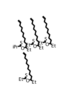 C=CCCCCCCCCC(CC)OC(=S)C(C)C.C=CCCCCCCCCC(CC)OC(=S)CC.C=CCCCCCCCCC(CC)OC(=S)CC.C=CCCCCCCCCC(CC)OC(=S)CC